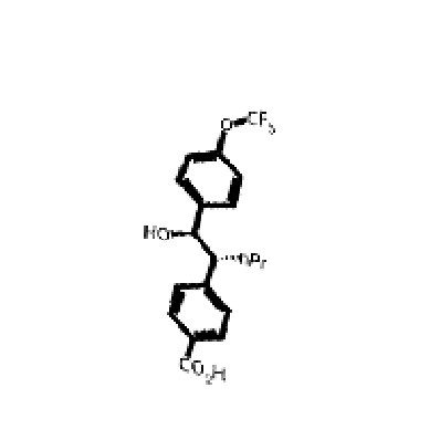 CCC[C@H](c1ccc(C(=O)O)cc1)[C@@H](O)c1ccc(OC(F)(F)F)cc1